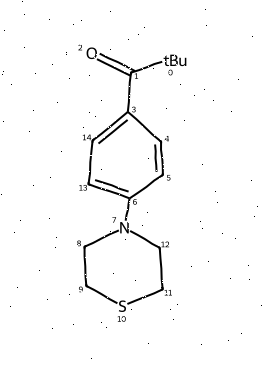 CC(C)(C)C(=O)c1ccc(N2CCSCC2)cc1